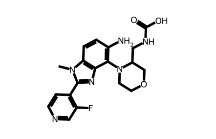 Cn1c(-c2ccncc2F)nc2c(N3CCOCC3CNC(=O)O)c(N)ccc21